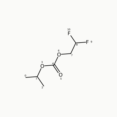 CC(C)OC(=O)OCC(F)F